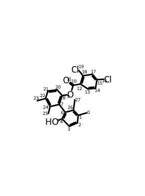 Cc1ccc(O)c(-c2c(OC(=O)c3ccc(Cl)cc3Cl)ccc(C)c2C)c1C